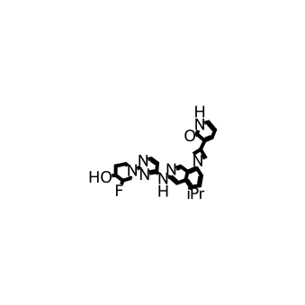 CC(C)c1ccc(N2CC(c3ccc[nH]c3=O)C2)c2cnc(Nc3ccnc(N4CCC(O)C(F)C4)n3)cc12